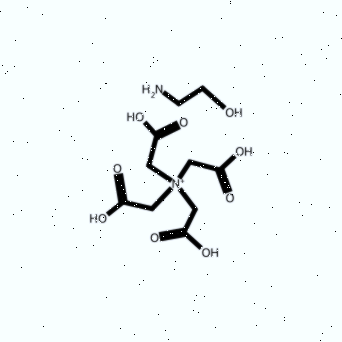 NCCO.O=C(O)C[N+](CC(=O)O)(CC(=O)O)CC(=O)O